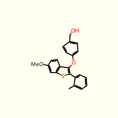 COc1ccc2c(Oc3ccc(CO)cc3)c(-c3ccccc3C)sc2c1